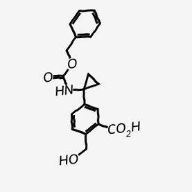 O=C(NC1(c2ccc(CO)c(C(=O)O)c2)CC1)OCc1ccccc1